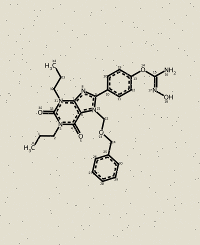 CCCn1c(=O)c2c(nc(-c3ccc(OC(N)=NO)cc3)n2COCc2ccccc2)n(CCC)c1=O